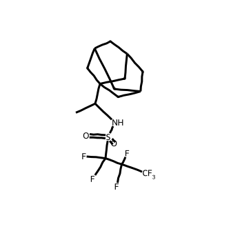 CC(NS(=O)(=O)C(F)(F)C(F)(F)C(F)(F)F)C12CC3CC(CC(C3)C1)C2